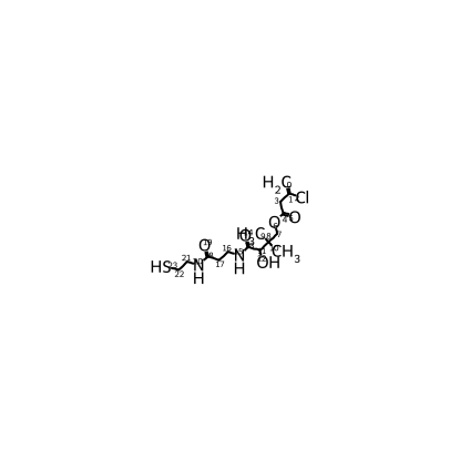 C=C(Cl)CC(=O)OCC(C)(C)C(O)C(=O)NCCC(=O)NCCS